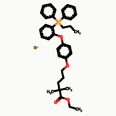 CCC[P+](c1ccccc1)(c1ccccc1)c1ccccc1Oc1ccc(OCCCC(C)(C)C(=O)OCC)cc1.[Br-]